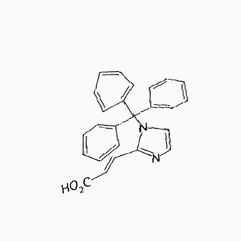 O=C(O)/C=C/c1nccn1C(c1ccccc1)(c1ccccc1)c1ccccc1